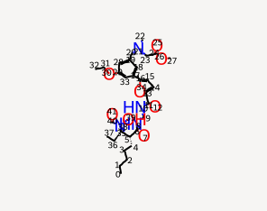 CCCCC[C@@H](C(=O)NCNC(=O)c1ccc(-c2cc(CN(C)CC(=O)OC)cc(OCC)c2)o1)[C@@H](CC)N(O)C=O